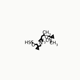 CC(CC1CN(CC2(COSS)CC2)C1)OCC1(N(C)C)CC1